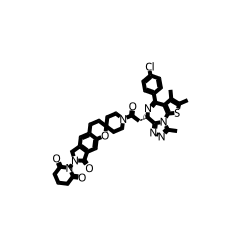 Cc1sc2c(c1C)C(c1ccc(Cl)cc1)=N[C@@H](CC(=O)N1CCC3(CCc4cc5c(cc4O3)C(=O)N(N3C(=O)CCCC3=O)C5)CC1)c1nnc(C)n1-2